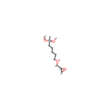 CO[Si](C)(CCCCCOCC1CO1)OC